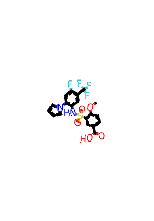 COc1ccc(C(=O)O)cc1S(=O)(=O)Nc1cc(C(F)(F)F)c(F)cc1-n1cccc1